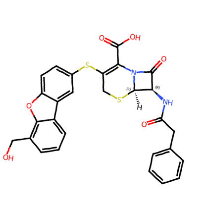 O=C(Cc1ccccc1)N[C@@H]1C(=O)N2C(C(=O)O)=C(Sc3ccc4oc5c(CO)cccc5c4c3)CS[C@H]12